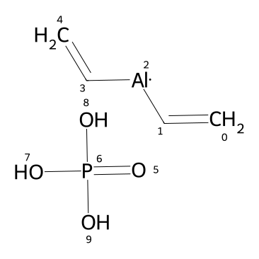 C=[CH][Al][CH]=C.O=P(O)(O)O